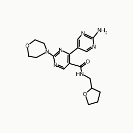 Nc1ncc(-c2nc(N3CCOCC3)ncc2C(=O)NCC2CCCO2)cn1